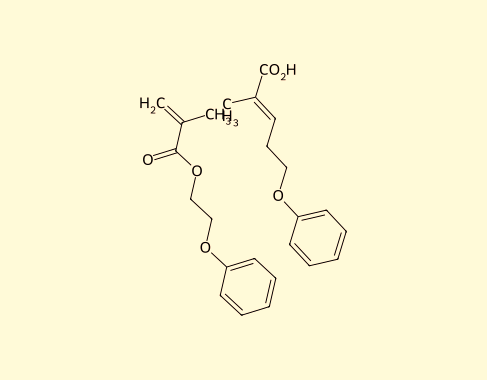 C=C(C)C(=O)OCCOc1ccccc1.CC(=CCCOc1ccccc1)C(=O)O